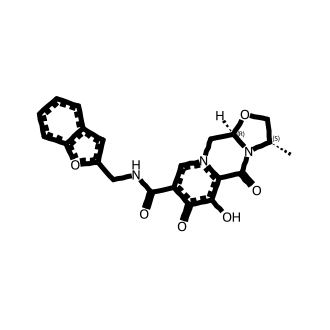 C[C@H]1CO[C@@H]2Cn3cc(C(=O)NCc4cc5ccccc5o4)c(=O)c(O)c3C(=O)N12